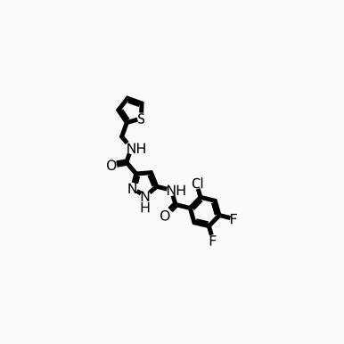 O=C(NCc1cccs1)c1cc(NC(=O)c2cc(F)c(F)cc2Cl)[nH]n1